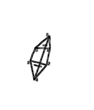 C12=C3C4=C1C4C23